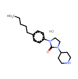 Cl.O=C(O)CCCCc1ccc(N2CCN(C3CCNCC3)C2=O)cc1